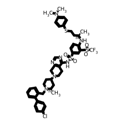 C[C@H](CCSc1ccc(N(C)C)cc1)Nc1ccc(S(=O)(=O)Nc2ncnc3c2CCN(C2CCN(Cc4ccccc4-c4ccc(Cl)cc4)[C@@H](C)C2)C3)cc1S(=O)(=O)C(F)(F)F